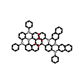 c1ccc(N2c3cc4ccccc4cc3B3c4cc5ccccc5cc4N(c4ccccc4)c4c(-c5ccc6c7c(ccc6c5)N(c5ccccc5)c5cccc6c5B7c5c(ccc7ccccc57)N6c5ccccc5)ccc2c43)cc1